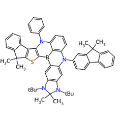 CC1(C)c2ccccc2-c2ccc(N3c4cc5c(cc4B4c6sc7c(c6N(c6ccccc6)c6cccc3c64)-c3ccccc3C7(C)C)N(C(C)(C)C)C(C)(C)N5C(C)(C)C)cc21